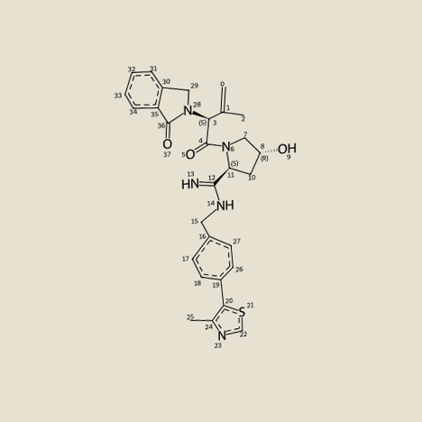 C=C(C)[C@@H](C(=O)N1C[C@H](O)C[C@H]1C(=N)NCc1ccc(-c2scnc2C)cc1)N1Cc2ccccc2C1=O